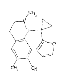 Cc1cc2c(cc1O)C(C1(c3ccco3)CC1)N(C)CC2